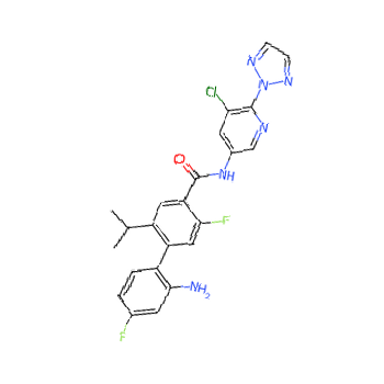 CC(C)c1cc(C(=O)Nc2cnc(-n3nccn3)c(Cl)c2)c(F)cc1-c1ccc(F)cc1N